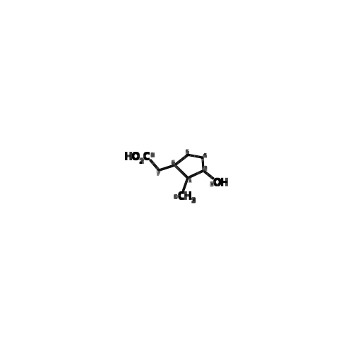 CC1C(O)CCC1CC(=O)O